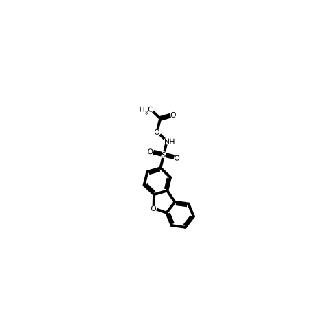 CC(=O)ONS(=O)(=O)c1ccc2oc3ccccc3c2c1